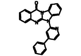 O=c1c2ccccc2nc2n(-c3cc(-c4ccccc4)ccn3)c3ccccc3n12